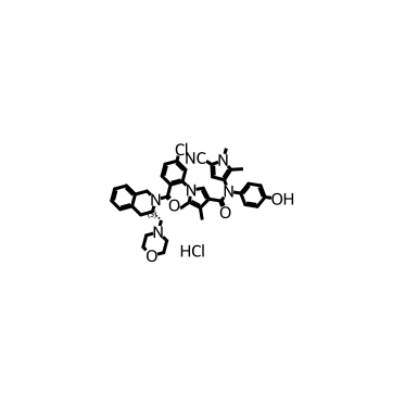 Cc1c(C(=O)N(c2ccc(O)cc2)c2cc(C#N)n(C)c2C)cn(-c2cc(Cl)ccc2C(=O)N2Cc3ccccc3C[C@H]2CN2CCOCC2)c1C.Cl